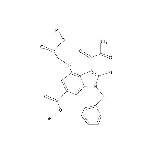 CCc1c(C(=O)C(N)=O)c2c(OCC(=O)OC(C)C)cc(C(=O)OC(C)C)cc2n1Cc1ccccc1